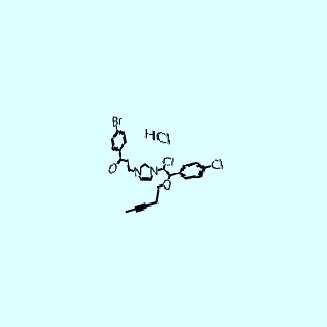 CC#CCCOC(c1ccc(Cl)cc1)C(Cl)N1C=CN(CCC(=O)c2ccc(Br)cc2)C1.Cl